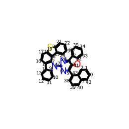 c1ccc2c(-c3nc(-n4c5ccccc5c5ccc6sc7ccccc7c6c54)nc4c3oc3ccccc34)cccc2c1